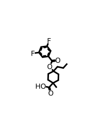 CCCC1(OC(=O)c2cc(F)cc(F)c2)CCC(C)(C(=O)O)CC1